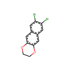 Brc1cc2cc3c(cc2cc1Br)OCCO3